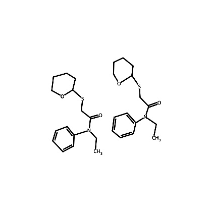 CCN(C(=O)CSC1CCCCO1)c1ccccc1.CCN(C(=O)CSC1CCCCO1)c1ccccc1